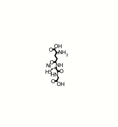 N[C@@H](CCC(=O)N[C@@H](CS)C(=O)NCC(=O)O)C(=O)O.[Ni]